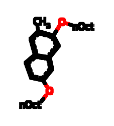 CCCCCCCCOc1ccc2cc(C)c(OCCCCCCCC)cc2c1